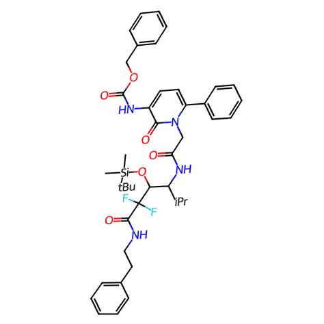 CC(C)C(NC(=O)Cn1c(-c2ccccc2)ccc(NC(=O)OCc2ccccc2)c1=O)C(O[Si](C)(C)C(C)(C)C)C(F)(F)C(=O)NCCc1ccccc1